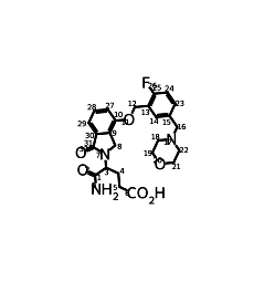 NC(=O)C(CCC(=O)O)N1Cc2c(OCc3cc(CN4CCOCC4)ccc3F)cccc2C1=O